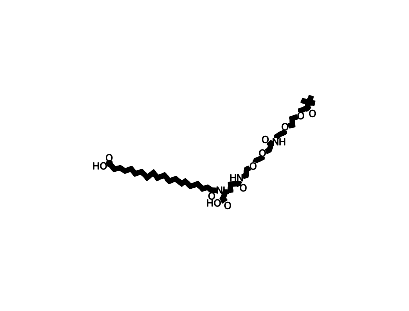 CC(C)(C)C(=O)COCCOCCNC(=O)COCCOCCNC(=O)CC[C@H](NC(=O)CCCCCCCCCCCCCCCCCCC(=O)O)C(=O)O